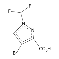 O=C(O)c1nn(C(F)F)cc1Br